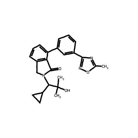 Cc1nc(-c2cccc(-c3cccc4c3C(=O)N(C(C3CC3)C(C)(C)O)C4)c2)no1